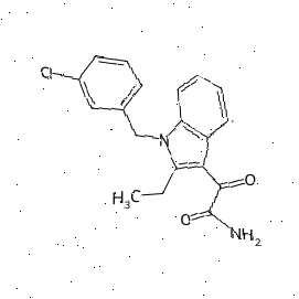 CCc1c(C(=O)C(N)=O)c2[c]cccc2n1Cc1cccc(Cl)c1